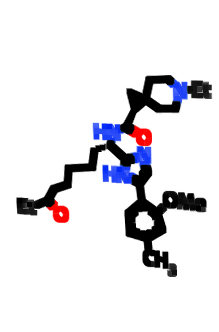 CCC(=O)CCCCC[C@H](NC(=O)[C@H]1CC12CCN(CC)CC2)c1ncc(-c2ccc(C)cc2OC)[nH]1